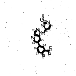 COc1nccc(Cn2ncc3ncc(-c4ccc(F)c(C(F)F)c4)cc32)n1